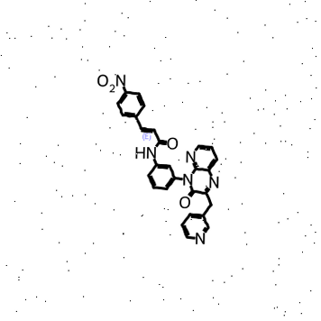 O=C(/C=C/c1ccc([N+](=O)[O-])cc1)Nc1cccc(-n2c(=O)c(Cc3cccnc3)nc3cccnc32)c1